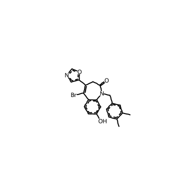 Cc1ccc(CN2C(=O)CC(c3cnco3)=C(Br)c3ccc(O)cc32)cc1C